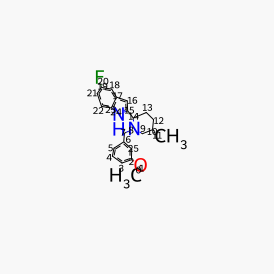 COc1cccc(CN2CC(C)CCC2c2cc3cc(F)ccc3[nH]2)c1